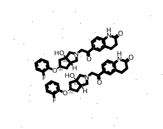 O=C1CCc2cc(C(=O)CN3C[C@@H]4C[C@@H](Oc5ccccc5F)C[C@]4(O)C3)ccc2N1.O=C1CCc2cc(C(=O)CN3C[C@H]4C[C@H](Oc5ccccc5F)C[C@@]4(O)C3)ccc2N1